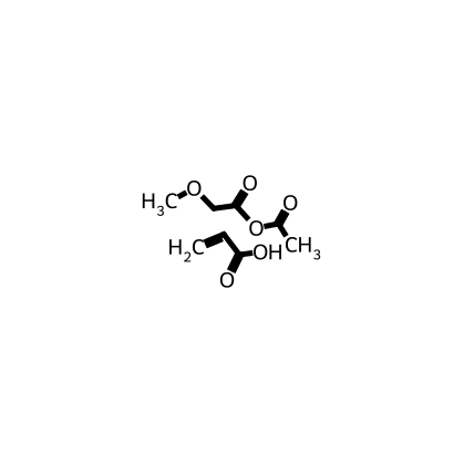 C=CC(=O)O.COCC(=O)OC(C)=O